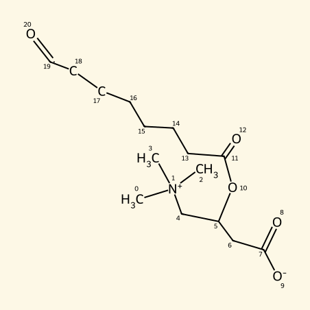 C[N+](C)(C)CC(CC(=O)[O-])OC(=O)CCCCCC[C]=O